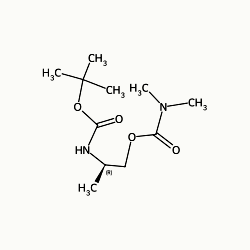 C[C@H](COC(=O)N(C)C)NC(=O)OC(C)(C)C